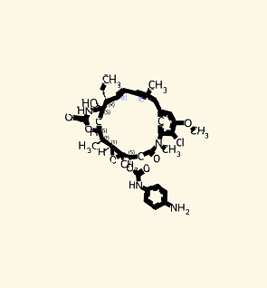 CC[C@@H]1/C=C/C=C(\C)Cc2cc(OC)c(Cl)c(c2)N(C)C(=O)C[C@H](OC(=O)Nc2ccc(N)cc2)[C@]2(C)O[C@H]2[C@H](C)[C@@H]2C[C@@]1(O)NC(=O)O2